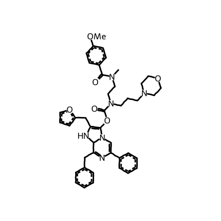 COc1ccc(C(=O)N(C)CCN(CCCN2CCOCC2)C(=O)OC2=C(Cc3ccco3)NC3C(Cc4ccccc4)=NC(c4ccccc4)=CN23)cc1